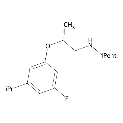 CCCC(C)NC[C@@H](C)Oc1cc(F)cc(C(C)C)c1